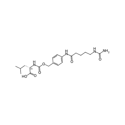 CC(C)C[C@H](NC(=O)OCc1ccc(NC(=O)CCCCNC(N)=O)cc1)C(=O)O